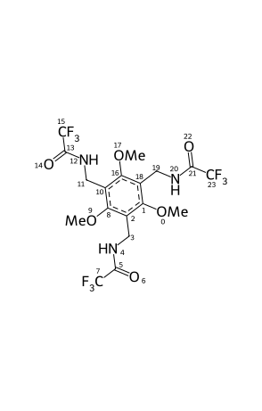 COc1c(CNC(=O)C(F)(F)F)c(OC)c(CNC(=O)C(F)(F)F)c(OC)c1CNC(=O)C(F)(F)F